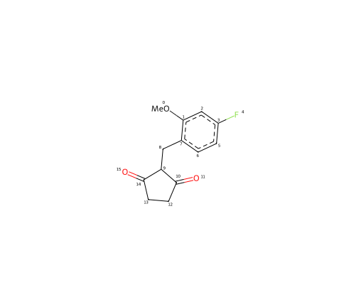 COc1cc(F)ccc1CC1C(=O)CCC1=O